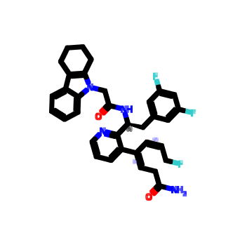 NC(=O)C/C=C(\C=C/CF)c1cccnc1[C@H](Cc1cc(F)cc(F)c1)NC(=O)Cn1c2c(c3ccccc31)CCCC2